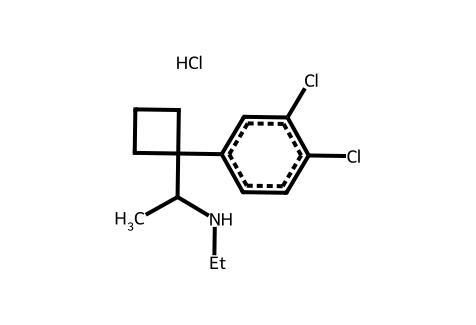 CCNC(C)C1(c2ccc(Cl)c(Cl)c2)CCC1.Cl